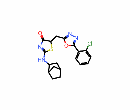 O=C1N=C(NC2CC3CCC2C3)SC1Cc1nnc(-c2ccccc2Cl)o1